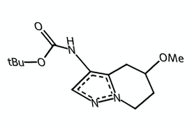 COC1CCn2ncc(NC(=O)OC(C)(C)C)c2C1